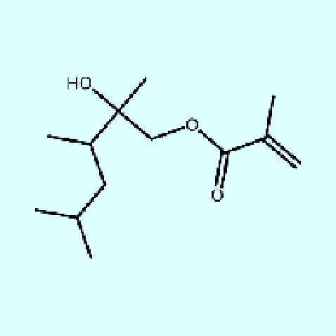 C=C(C)C(=O)OCC(C)(O)C(C)CC(C)C